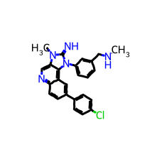 CNCc1cccc(-n2c(=N)n(C)c3cnc4ccc(-c5ccc(Cl)cc5)cc4c32)c1